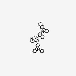 c1ccc(-n2c3ccccc3c3cc(-c4nc(-c5ccc(-n6c7ccccc7c7cc8ccccc8cc76)c6ccccc56)nc5ncccc45)ccc32)cc1